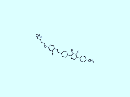 C=CCCCOc1ccc(/C=C/C2CCC(c3ccc(C4CCC(C)CC4)c(F)c3F)CC2)c(F)c1